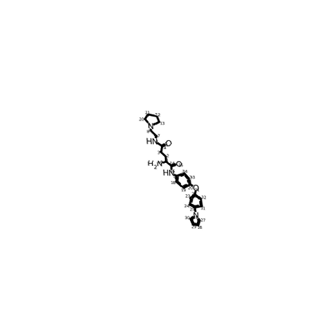 NC(CCC(=O)NCCN1CCCC1)C(=O)Nc1ccc(Oc2ccc(-n3cccc3)cc2)cc1